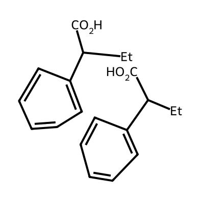 CCC(C(=O)O)c1ccccc1.CCC(C(=O)O)c1ccccc1